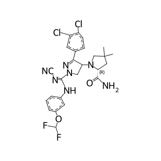 CC1(C)C[C@H](C(N)=O)N(C2CN(C(=NC#N)Nc3cccc(OC(F)F)c3)N=C2c2ccc(Cl)c(Cl)c2)C1